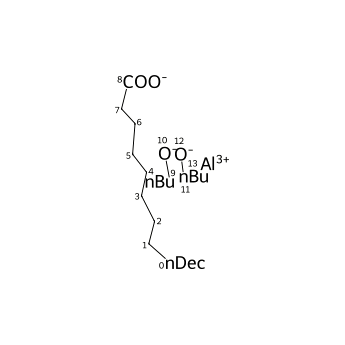 CCCCCCCCCCCCCCCCCC(=O)[O-].CCCC[O-].CCCC[O-].[Al+3]